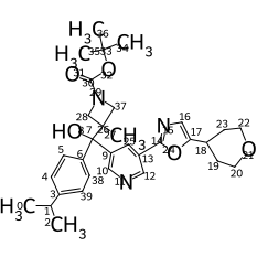 CC(C)c1ccc(C(O)(c2cncc(-c3ncc(C4CCOCC4)o3)c2)C2(C)CN(C(=O)OC(C)(C)C)C2)cc1